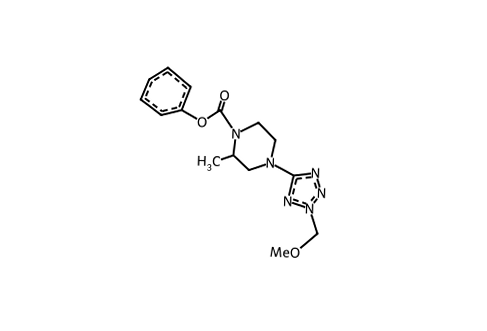 COCn1nnc(N2CCN(C(=O)Oc3ccccc3)C(C)C2)n1